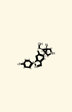 Cc1cc2c(cnn2-c2ccc(F)cc2)cc1[C@]12CNC[C@H]1[C@@H]2CO